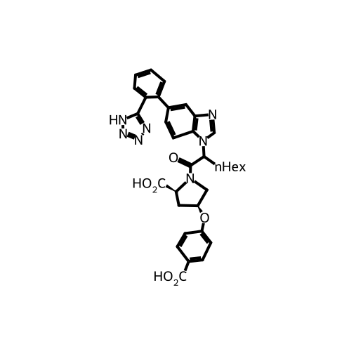 CCCCCCC(C(=O)N1C[C@@H](Oc2ccc(C(=O)O)cc2)C[C@H]1C(=O)O)n1cnc2cc(-c3ccccc3-c3nnn[nH]3)ccc21